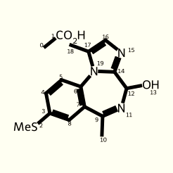 CC(=O)O.CSc1ccc2c(c1)C(C)=NC(O)c1ncc(C)n1-2